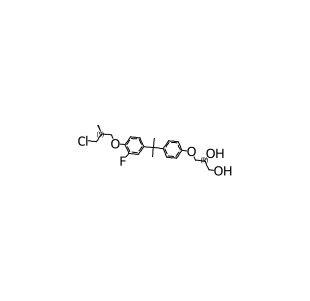 C[C@H](CCl)COc1ccc(C(C)(C)c2ccc(OC[C@H](O)CO)cc2)cc1F